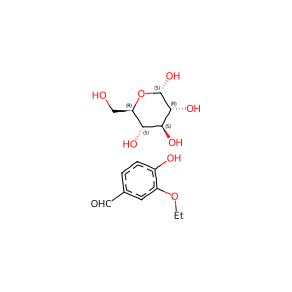 CCOc1cc(C=O)ccc1O.OC[C@H]1O[C@H](O)[C@H](O)[C@@H](O)[C@@H]1O